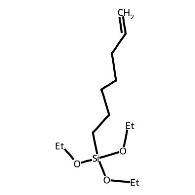 C=CCCCCC[Si](OCC)(OCC)OCC